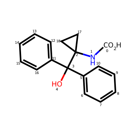 O=C(O)NC1(C(O)(c2ccccc2)c2ccccc2)CC1